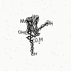 COCCOCCOCCOc1ccc(-c2cc(-c3ccc4c(c3)C(c3ccc(COCCOCCOCCO)c(COCCOCCOCCO)c3)(c3ccc(OCCOCCOCCOC)c(OCCOCCOCCOC)c3)c3cc(C)ccc3-4)cc3c(-c4ccc(COCCOCCOCCO)c(C(=O)O)c4)cc(C)cc23)cc1C=O